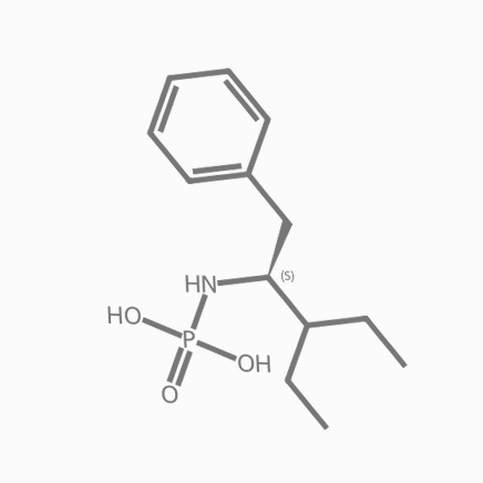 CCC(CC)[C@H](Cc1ccccc1)NP(=O)(O)O